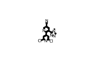 Cn1cnnc1-c1cc(C#N)cnc1-c1cc(Cl)nc(Cl)c1